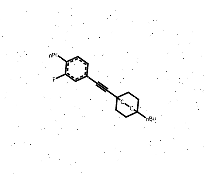 CCCCC12CCC(C#Cc3ccc(CCC)c(F)c3)(CC1)CC2